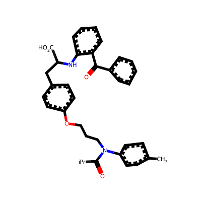 Cc1ccc(N(CCCOc2ccc(CC(Nc3ccccc3C(=O)c3ccccc3)C(=O)O)cc2)C(=O)C(C)C)cc1